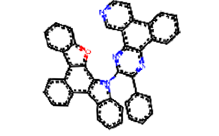 c1ccc(-c2nc3c4ccccc4c4ccncc4c3nc2-n2c3ccccc3c3c4ccccc4c4c5ccccc5oc4c32)cc1